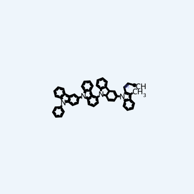 C#C/C=C\c1c(C)c2ccccc2n1C1=CC2c3ccccc3N(c3cccc4c3c3ccccc3n4-c3ccc4c(c3)c3ccccc3n4-c3ccccc3)C2C=C1